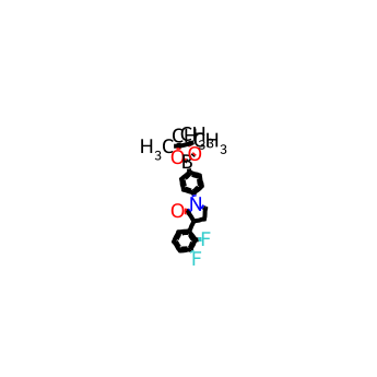 CC1(C)OB(c2ccc(N3CCC(c4cccc(F)c4F)C3=O)cc2)OC1(C)C